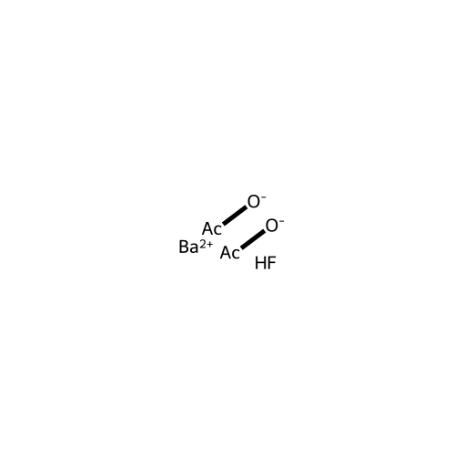 CC(=O)[O-].CC(=O)[O-].F.[Ba+2]